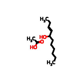 CC(=O)O.CCC=CC(O)CCCCCC